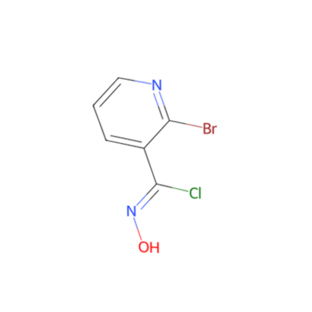 ON=C(Cl)c1cccnc1Br